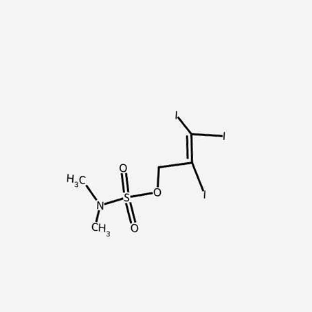 CN(C)S(=O)(=O)OCC(I)=C(I)I